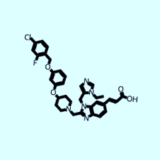 CCn1cncc1Cn1c(CN2CCC(Oc3cccc(OCc4ccc(Cl)cc4F)c3)CC2)nc2ccc(/C=C/C(=O)O)cc21